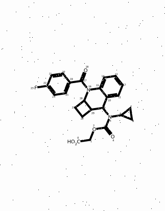 O=C(O)COC(=O)N(C1CC1)C1c2ccccc2N(C(=O)c2ccc(F)cc2)C2CCC21